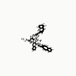 NC(=O)CC(NC(=O)c1ccc2ccccc2n1)C(=O)NC(Cc1ccccc1)C(O)CNCc1ccc2ccccc2c1